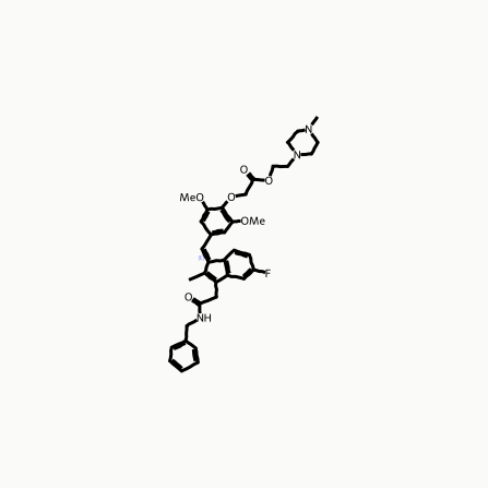 COc1cc(/C=C2/C(C)=C(CC(=O)NCc3ccccc3)c3cc(F)ccc32)cc(OC)c1OCC(=O)OCCN1CCN(C)CC1